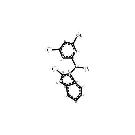 Cc1cc(C)nc(N(C)n2c(C)nc3ccccc32)n1